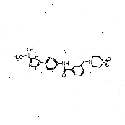 CN(C)c1nnc(-c2ccc(NC(=O)c3cccc(CN4CCS(=O)(=O)CC4)c3)cc2)o1